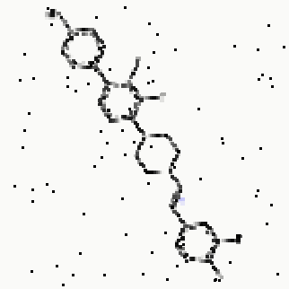 CCCc1ccc(-c2ccc(C3CCC(/C=C/c4ccc(C)c(F)c4)CC3)c(F)c2F)cc1